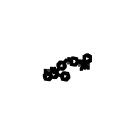 Cc1nc2ccccc2n1C1CCN(Cc2ccc(-c3nc4ncccc4cc3-c3ccccc3)cc2)CC1